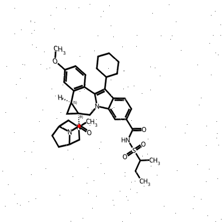 CCC(C)S(=O)(=O)NC(=O)c1ccc2c(C3CCCCC3)c3n(c2c1)C[C@@]1(C(=O)N2C4CCC2CN(C)C4)C[C@H]1c1cc(OC)ccc1-3